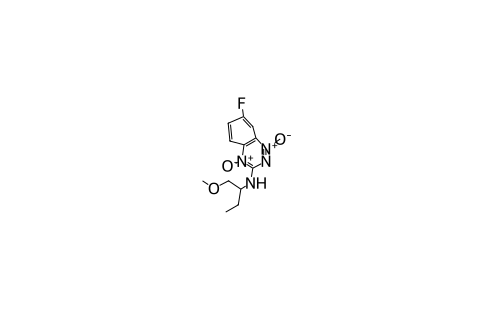 CCC(COC)Nc1n[n+]([O-])c2cc(F)ccc2[n+]1[O-]